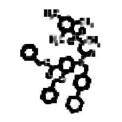 Cc1cc(C)c(S(=O)(=O)N(C)CC(=O)N(Cc2ccc(C3CCCCC3)cc2)c2ccc(C(=O)OCc3ccccc3)c(OCc3ccccc3)c2)c(C)c1